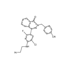 CC(=O)CCNc1nc(F)c(-c2nn(Cc3ccc(C#N)cc3)c(=O)c3ccccc23)cc1Cl